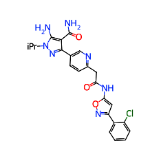 CC(C)n1nc(-c2ccc(CC(=O)Nc3cc(-c4ccccc4Cl)no3)nc2)c(C(N)=O)c1N